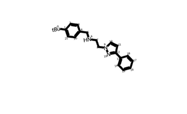 CC(C)(C)c1ccc(CNCCn2ccc(-c3ccccc3)n2)cc1